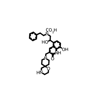 O=C(O)N(CCc1ccccc1)CC(O)c1ccc(O)c2[nH]c(=O)c(CN3CCC4(CC3)CNCCO4)cc12